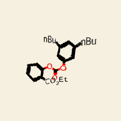 CCCCc1cc(CCCC)cc(OC(=O)Oc2ccccc2C(=O)OCC)c1